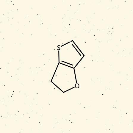 [C]1COc2ccsc21